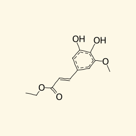 CCOC(=O)C=Cc1cc(O)c(O)c(OC)c1